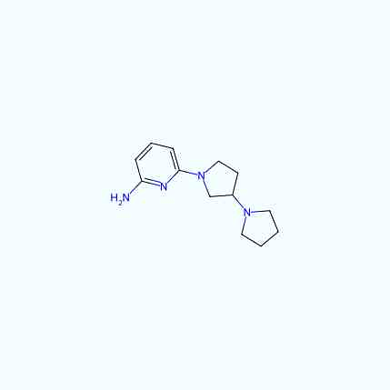 Nc1cccc(N2CCC(N3CCCC3)C2)n1